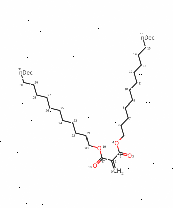 C=C(C(=O)OCCCCCCCCCCCCCCCCCCCCC)C(=O)OCCCCCCCCCCCCCCCCCCCCC